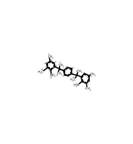 Cc1cc(C)c(N)c(C(C)(C)c2ccc(C(C)(C)c3cc(C)cc(C)c3N)cc2)c1